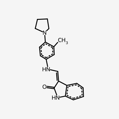 Cc1cc(NC=C2C(=O)Nc3ccccc32)ccc1N1CCCC1